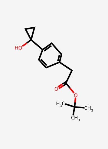 CC(C)(C)OC(=O)Cc1ccc(C2(O)CC2)cc1